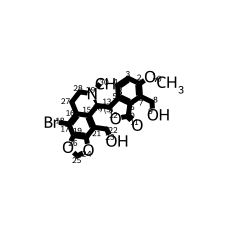 COc1ccc2c(c1CO)C(=O)O[C@@H]2[C@H]1c2c(c(Br)c3c(c2CO)OCO3)CCN1C